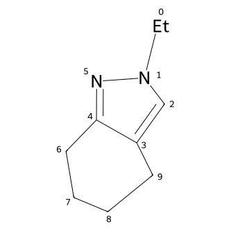 CCn1cc2c(n1)CCCC2